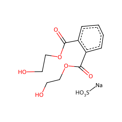 O=C(OCCO)c1ccccc1C(=O)OCCO.O=[S](=O)(O)[Na]